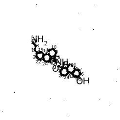 C[C@]1(C(=O)NC(=O)[C@@]2(C)CCC[C@]3(C)c4cc(CCCN)ccc4CC[C@@H]23)CCC[C@]2(C)c3cc(O)ccc3CC[C@@H]12